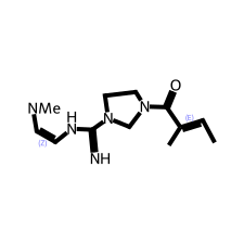 C/C=C(\C)C(=O)N1CCN(C(=N)N/C=C\NC)C1